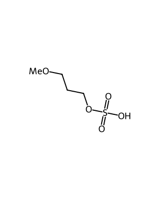 COCCCOS(=O)(=O)O